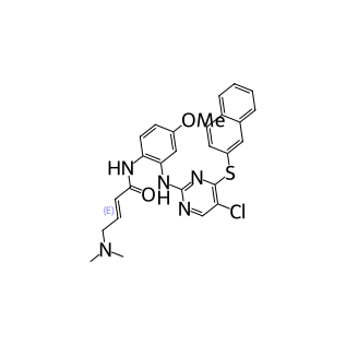 COc1ccc(NC(=O)/C=C/CN(C)C)c(Nc2ncc(Cl)c(Sc3ccc4ccccc4c3)n2)c1